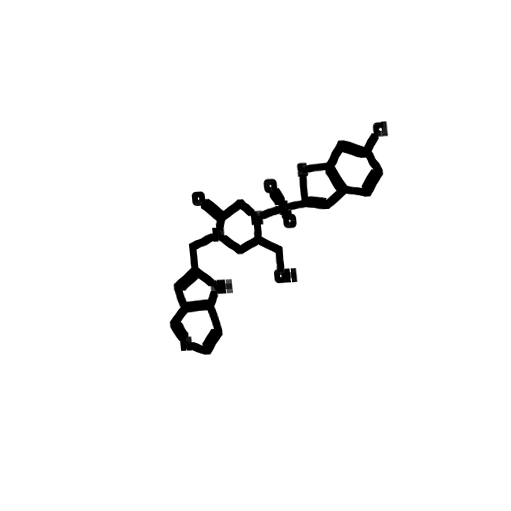 O=C1CN(S(=O)(=O)c2cc3ccc(Cl)cc3s2)C(CO)CN1Cc1cc2cnccc2[nH]1